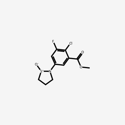 COC(=O)c1cc(N2CCC[S+]2[O-])cc(F)c1Cl